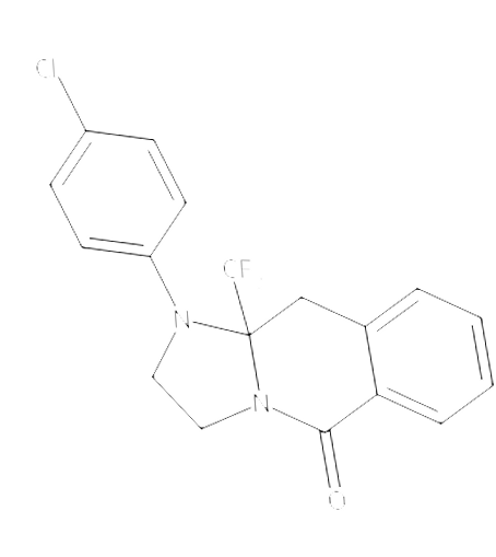 O=C1c2ccccc2CC2(C(F)(F)F)N1CCN2c1ccc(Cl)cc1